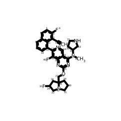 C#Cc1c(F)ccc2cccc(-c3ncc4c(N(C)C5CCNC5)nc(OCC56CCCN5CC(F)C6)nc4c3F)c12